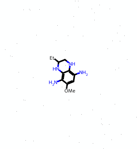 CCC1CNc2c(N)cc(OC)c(N)c2N1